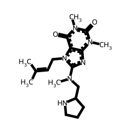 CC(C)=CCn1c(N(C)CC2CCCN2)nc2c1c(=O)n(C)c(=O)n2C